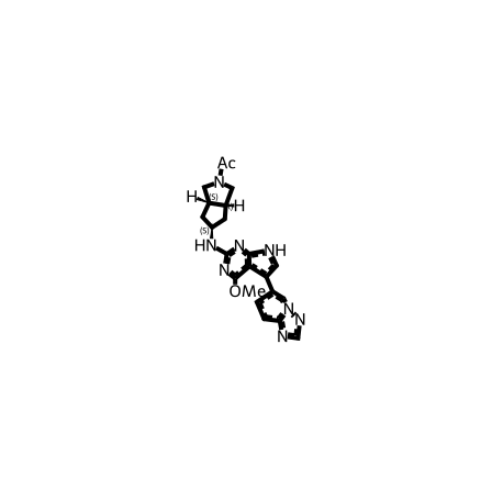 COc1nc(N[C@H]2C[C@@H]3CN(C(C)=O)C[C@@H]3C2)nc2[nH]cc(-c3ccc4ncnn4c3)c12